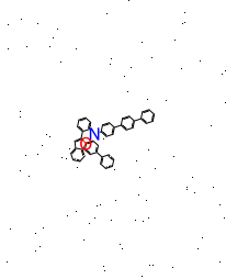 c1ccc(-c2ccc(-c3ccc(N(c4cccc(-c5ccccc5)c4)c4ccccc4-c4cc5ccccc5o4)cc3)cc2)cc1